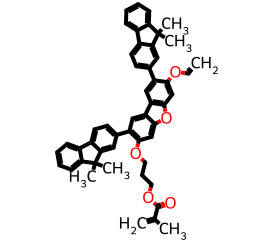 C=COc1cc2oc3cc(OCCCOC(=O)C(=C)C)c(-c4ccc5c(c4)C(C)(C)c4ccccc4-5)cc3c2cc1-c1ccc2c(c1)C(C)(C)c1ccccc1-2